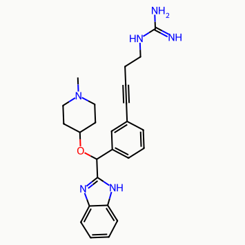 CN1CCC(OC(c2cccc(C#CCCNC(=N)N)c2)c2nc3ccccc3[nH]2)CC1